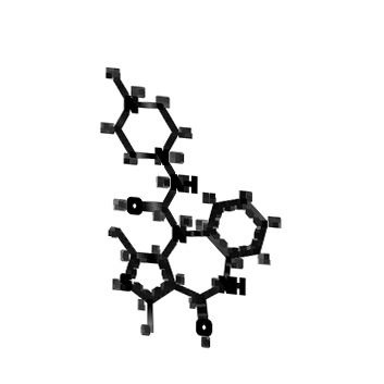 Cc1sc(C)c2c1C(=O)Nc1ccccc1N2C(=O)NN1CCN(C)CC1